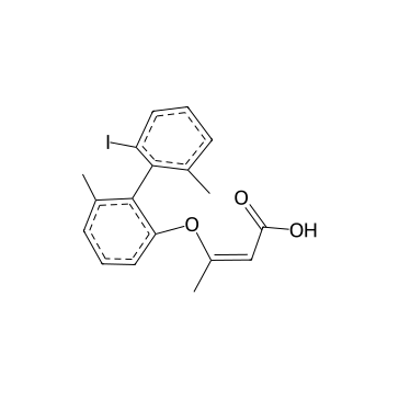 C/C(=C/C(=O)O)Oc1cccc(C)c1-c1c(C)cccc1I